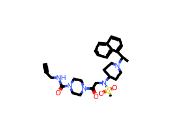 C#CCNC(=O)N1CCN(C(=O)CN(C2CCN(C(C)c3cccc4ccccc34)CC2)S(C)(=O)=O)CC1